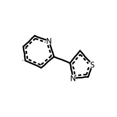 [c]1ccnc(-c2cscn2)c1